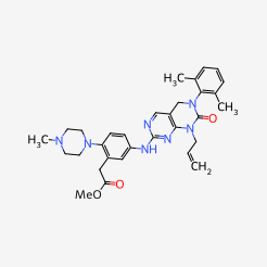 C=CCN1C(=O)N(c2c(C)cccc2C)Cc2cnc(Nc3ccc(N4CCN(C)CC4)c(CC(=O)OC)c3)nc21